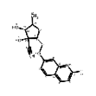 C#C[C@@]1(O)[C@@H](COc2ccc3ccc(Cl)nc3c2)OC(C)[C@@H]1O